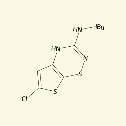 CCC(C)NC1=NSc2sc(Cl)cc2N1